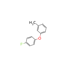 Cc1[c]ccc(Oc2ccc(F)cc2)c1